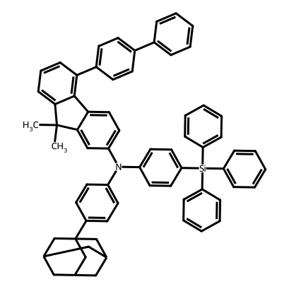 CC1(C)c2cc(N(c3ccc(C45CC6CC(CC(C6)C4)C5)cc3)c3ccc([Si](c4ccccc4)(c4ccccc4)c4ccccc4)cc3)ccc2-c2c(-c3ccc(-c4ccccc4)cc3)cccc21